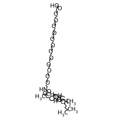 CC(C)CCC[C@@H](C)[C@H]1CC[C@H]2[C@@H]3CC=C4CC(CC(C)(C)OC(=O)NCCOCCOCCOCCOCCOCCOCCOCCOCCOCCOCCOCCOCCC(=O)O)CC[C@]4(C)[C@H]3CC[C@]12C